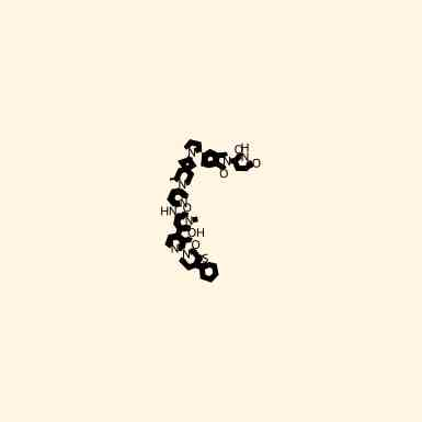 C[C@H]1CC2(CCN1c1ccc(Nc3cc(-c4ccnc(N5CCc6c(sc7c6CCCC7)C5=O)c4CO)cn(C)c3=O)nc1)CC(N1CCC[C@@H]1c1ccc3c(c1)CN(C1CCC(=O)NC1=O)C3=O)C2